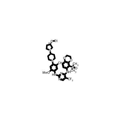 CCO[C@@H]1CCN(C2CCN(c3cc(OC)c(Nc4ncc(C(F)(F)F)c(Nc5ccc6c(c5P(C)(C)=O)OCCO6)n4)cc3C)CC2)C1